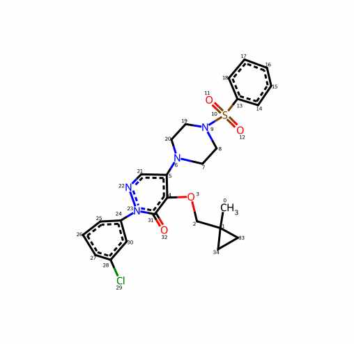 CC1(COc2c(N3CCN(S(=O)(=O)c4ccccc4)CC3)cnn(-c3cccc(Cl)c3)c2=O)CC1